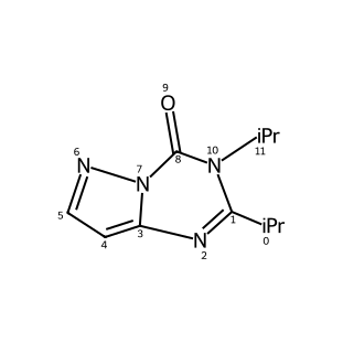 CC(C)c1nc2ccnn2c(=O)n1C(C)C